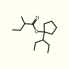 CCC(C)C(=O)OC1(C(CC)CC)CCCC1